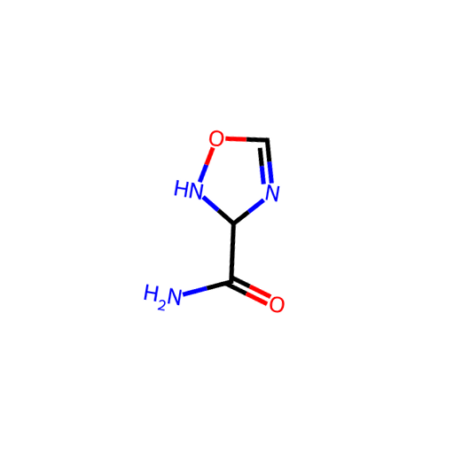 NC(=O)C1N=CON1